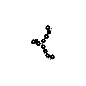 CC1(C)c2ccccc2-c2ccc(N(C3=CC=C(c4ccc(-c5ccc6oc7ccccc7c6c5)cc4)CC3)c3ccc(-c4ccc(-c5ccc6oc7ccccc7c6c5)cc4)cc3)cc21